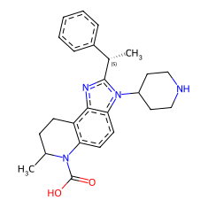 CC1CCc2c(ccc3c2nc([C@@H](C)c2ccccc2)n3C2CCNCC2)N1C(=O)O